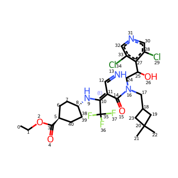 CCOC(=O)[C@H]1CC[C@H](N/C(=C(\C=N)C(=O)N(CC2CC(C)(C)C2)CC(O)c2c(Cl)cncc2Cl)C(F)(F)F)CC1